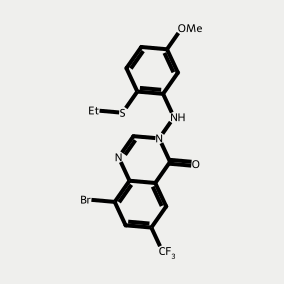 CCSc1ccc(OC)cc1Nn1cnc2c(Br)cc(C(F)(F)F)cc2c1=O